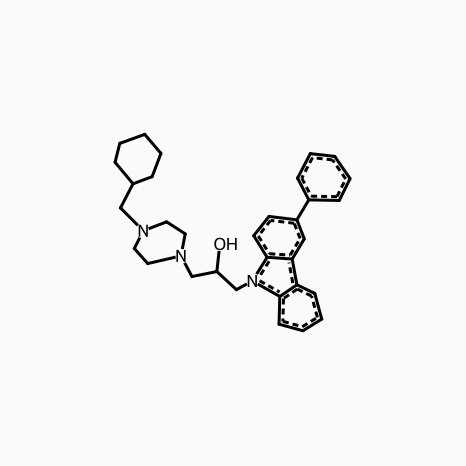 OC(CN1CCN(CC2CCCCC2)CC1)Cn1c2ccccc2c2cc(-c3ccccc3)ccc21